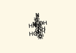 CC(C)(O)[C@@H](NC(=O)Nc1cc2[nH]nc(-c3ccc(C#N)cc3)c2c(CO)n1)c1ccccc1